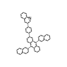 c1ccc2cc(-c3c4ccccc4c(-c4ccc5ccccc5c4)c4cc(-c5ccc(-c6cnc7ccccc7c6)cc5)ccc34)ccc2c1